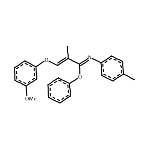 COc1cccc(O/C=C(C)/C(=N/c2ccc(C)cc2)Oc2ccccc2)c1